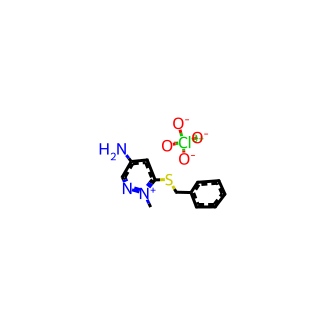 C[n+]1ncc(N)cc1SCc1ccccc1.[O-][Cl+3]([O-])([O-])[O-]